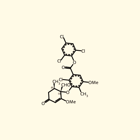 COC1=CC(=O)C[C@@H](C)[C@]1(C=O)Oc1c(C)c(OC)cc(C(=O)Oc2c(Cl)cc(Cl)cc2Cl)c1Cl